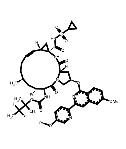 CC[C@@H]1C[C@@H](C)CC/C=C\[C@@H]2C[C@@]2(C(=O)NS(=O)(=O)C2CC2)NC(=O)[C@@H]2C[C@@H](Oc3nc(-c4ccc(OC(C)C)cn4)cc4cc(OC)ccc34)CN2C(=O)[C@H]1NC(=O)OC(C)(C)C(C)(F)F